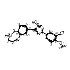 CC(C)Oc1ccc(-c2nc(-c3ccc4c(c3)OCCNC4)no2)cc1Cl.Cl